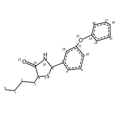 CCCCC1SC(c2cccc(Oc3ccccc3)c2)NC1=O